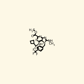 CNc1nc2nc(C(=O)OC)nc(N[C@H](C)C3CCC3)c2n1Cc1ccc(C(F)(F)F)cc1